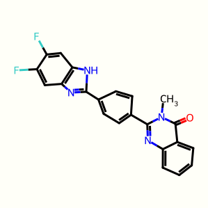 Cn1c(-c2ccc(-c3nc4cc(F)c(F)cc4[nH]3)cc2)nc2ccccc2c1=O